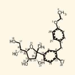 CCOc1ccc(Cc2cc(C3(O)O[C@H]([C@H](O)CO)[C@H](O)[C@H]3O)ccc2Cl)cc1